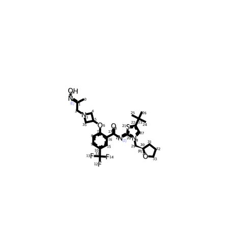 C/C(CN1CC(Oc2ccc(C(F)(F)F)cc2C(=O)/N=c2\sc(C(C)(C)C)cn2C[C@H]2CCCO2)C1)=N\O